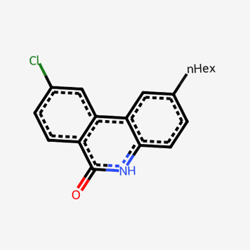 CCCCCCc1ccc2[nH]c(=O)c3ccc(Cl)cc3c2c1